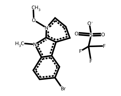 CO[n+]1cccc2c3cc(Br)ccc3n(C)c21.O=S(=O)([O-])C(F)(F)F